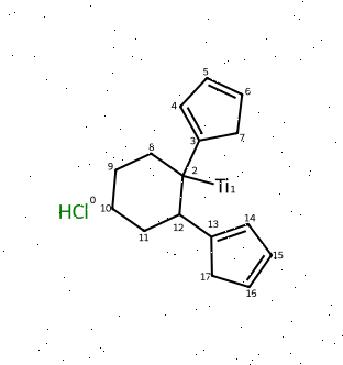 Cl.[Ti][C]1(C2=CC=CC2)CCCCC1C1=CC=CC1